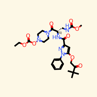 CCOC(=O)ON1CCN(C(=O)[C@H](CNC(=O)OC)NC(=O)c2cc(OCC(=O)C(C)(C)C)n(-c3ccccc3)n2)CC1